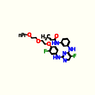 C=CC(=O)Nc1cccc(Nc2nc(Nc3ccc(OCCOCCOCCC)c(F)c3)ncc2F)c1